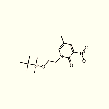 Cc1cc([N+](=O)[O-])c(=O)n(CCO[Si](C)(C)C(C)(C)C)c1